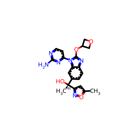 Cc1cc([C@](C)(O)c2ccc3nc(OC4COC4)n(-c4ccnc(N)n4)c3c2)no1